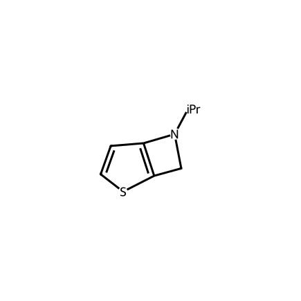 CC(C)N1Cc2sccc21